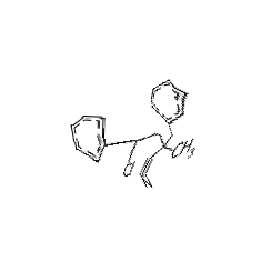 CC(C#N)(CC(Cl)c1ccccc1)c1ccccc1